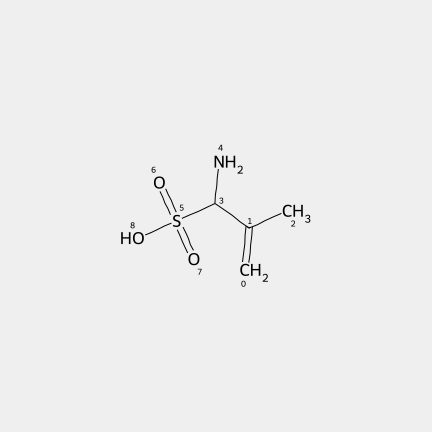 C=C(C)C(N)S(=O)(=O)O